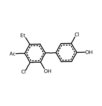 CCc1cc(-c2ccc(O)c(Cl)c2)c(O)c(Cl)c1C(C)=O